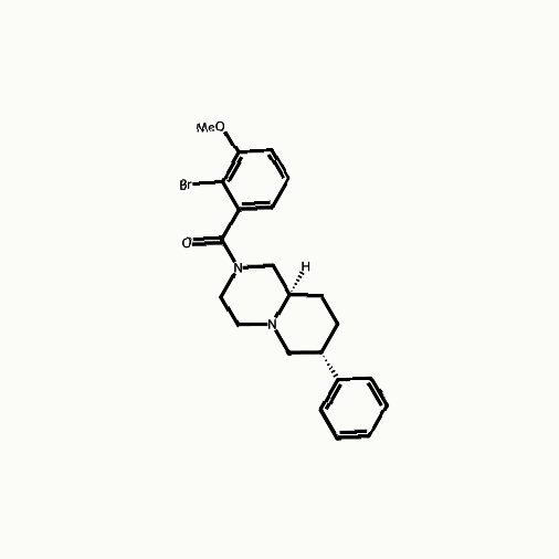 COc1cccc(C(=O)N2CCN3C[C@@H](c4ccccc4)CC[C@@H]3C2)c1Br